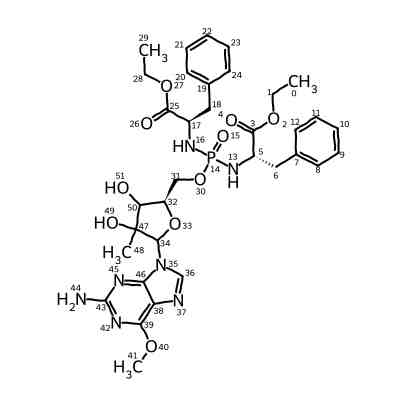 CCOC(=O)[C@H](Cc1ccccc1)NP(=O)(N[C@H](Cc1ccccc1)C(=O)OCC)OC[C@H]1OC(n2cnc3c(OC)nc(N)nc32)C(C)(O)C1O